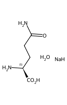 NC(=O)CC[C@H](N)C(=O)O.O.[NaH]